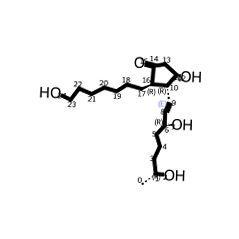 C[C@@H](O)CCC[C@@H](O)/C=C/[C@H]1[C@H](O)CC(=O)[C@@H]1CCCCCCCO